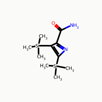 C[Si](C)(C)C1=C([Si](C)(C)C)C(C(N)=O)=N1